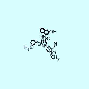 C=CC(=O)N1CCN(c2cc(C(=O)Nc3cc(O)cc4ccccc34)nc(OCC3CCCN(C)C3)n2)C[C@@H]1CC#N